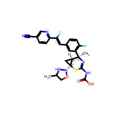 CC1CON([C@]23C[C@H]2[C@@](C)(c2cc(/C=C(\F)c4ccc(C#N)cn4)ccc2F)N=C(NC(=O)O)S3)N1